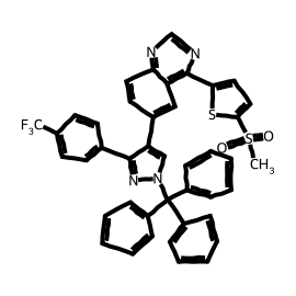 CS(=O)(=O)c1ccc(-c2ncnc3ccc(-c4cn(C(c5ccccc5)(c5ccccc5)c5ccccc5)nc4-c4ccc(C(F)(F)F)cc4)cc23)s1